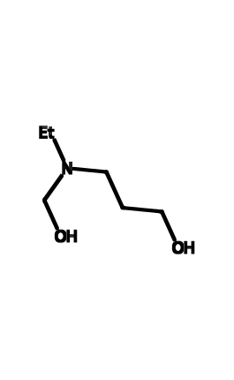 CCN(CO)CCCO